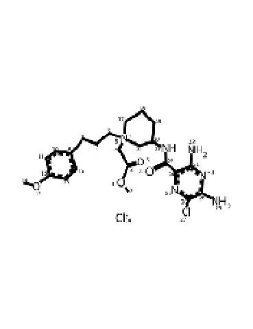 COC(=O)C[N+]1(CCCc2ccc(OC)cc2)CCCC(NC(=O)c2nc(Cl)c(N)nc2N)C1.[Cl-]